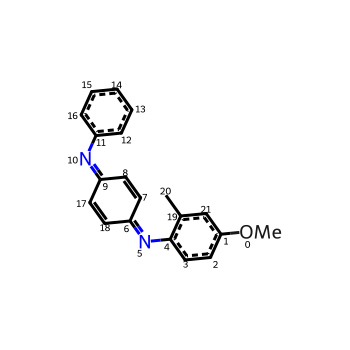 COc1ccc(N=C2C=CC(=Nc3ccccc3)C=C2)c(C)c1